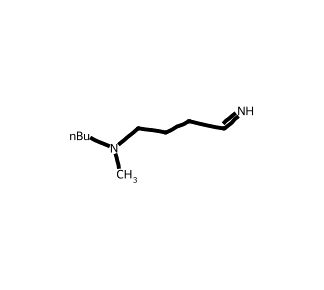 CCCCN(C)CCCC=N